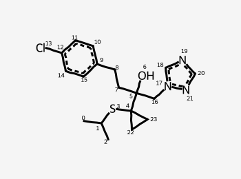 CC(C)SC1(C(O)(CCc2ccc(Cl)cc2)Cn2cncn2)CC1